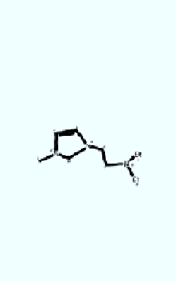 CCN(CC)CCN1C=CN(C)C1